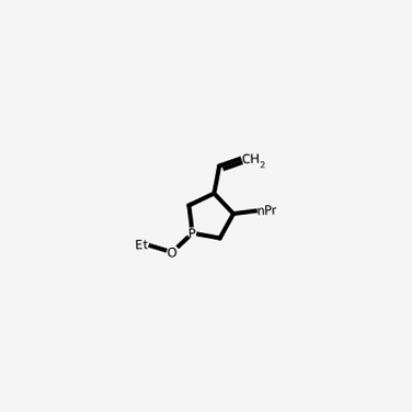 C=CC1CP(OCC)CC1CCC